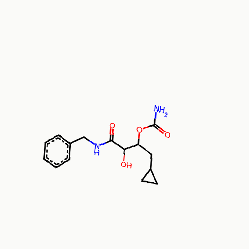 NC(=O)OC(CC1CC1)C(O)C(=O)NCc1ccccc1